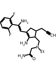 C#CCC1CC(/C=C(\N)c2c(F)cccc2F)=C(N)C1CN(CC)CC(N)=O